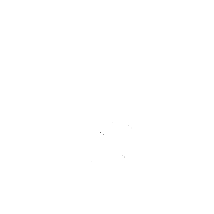 CC1(C)c2ccccc2-c2c1ccc1c2Oc2cc(-c3nc(-c4ccccc4)nc(-c4ccc5ccccc5c4)n3)ccc2O1